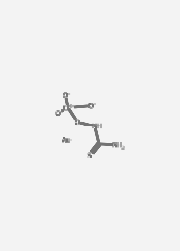 NC(=S)NO[Cl+3]([O-])([O-])[O-].[Au]